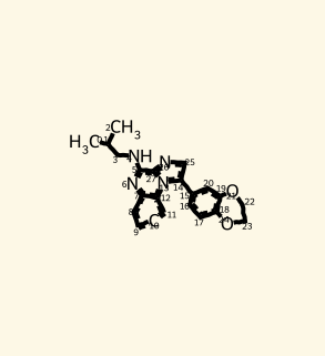 CC(C)CNc1nc2ccccc2n2c(-c3ccc4c(c3)OCCO4)cnc12